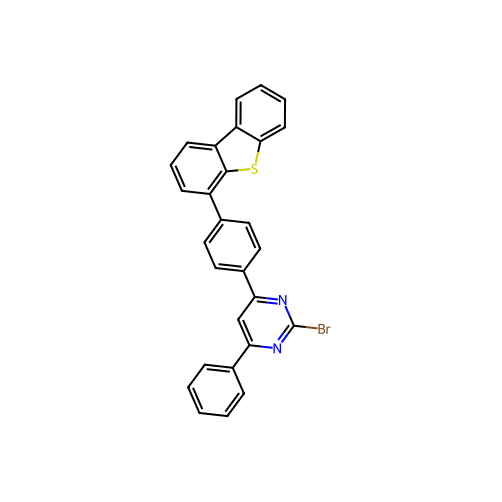 Brc1nc(-c2ccccc2)cc(-c2ccc(-c3cccc4c3sc3ccccc34)cc2)n1